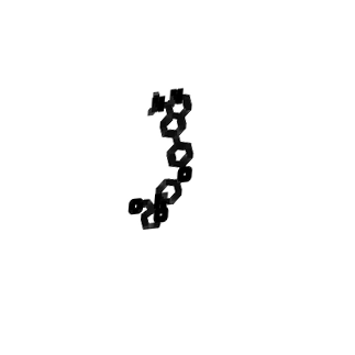 CN(C)c1nccc2cc(-c3ccc(OC4CCN(C5(C=O)CCCO5)CC4)cc3)ccc12